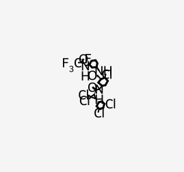 O=C(Nc1ccc(F)c(NC(=O)C(F)(F)F)c1)c1cc(NC(=O)[C@H]2[C@H](c3cc(Cl)cc(Cl)c3)C2(Cl)Cl)ccc1Cl